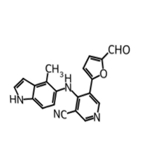 Cc1c(Nc2c(C#N)cncc2-c2ccc(C=O)o2)ccc2[nH]ccc12